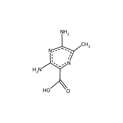 Cc1nc(C(=O)O)c(N)nc1N